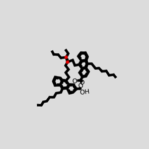 CCCCCCCCc1c2ccccc2c(CCCCCCCC)c2cc(C(=O)Oc3c(C(=O)O)ccc4c(CCCCCCCC)c5ccccc5c(CCCCCCCC)c34)ccc12